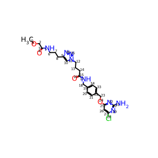 COCC(=O)NCCCc1cn(CCCC(=O)NCc2ccc(COc3cc(Cl)nc(N)n3)cc2)nn1